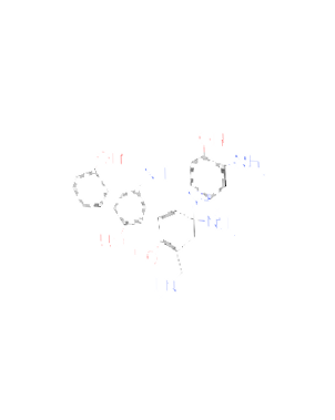 NCC1=C(O)C=CC(N)(N)C1.Nc1ccc(O)cc1.Nc1ccccc1O.Oc1ccccc1